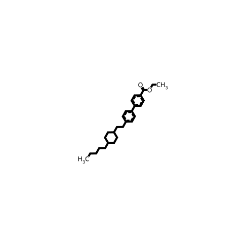 CCCCCC1CCC(CCc2ccc(-c3ccc(C(=O)OCC)cc3)cc2)CC1